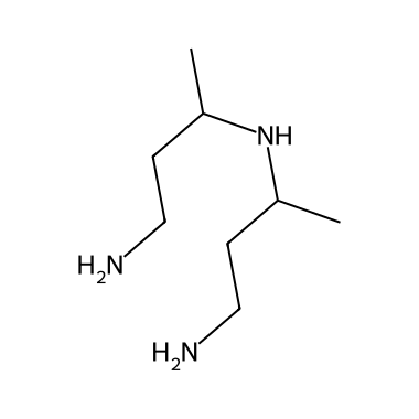 CC(CCN)NC(C)CCN